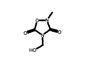 Cn1oc(=O)n(CO)c1=O